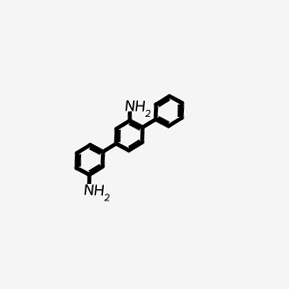 Nc1cccc(-c2ccc(-c3ccccc3)c(N)c2)c1